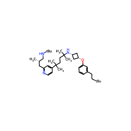 C[C@H](CNC(C)(C)C)Cc1cc(C(C)(C)CCC(C)(C)N[C@H]2C[C@@H](Oc3cccc(CCC(C)(C)C)c3)C2)ccn1